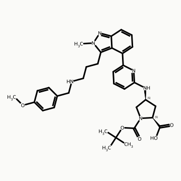 COc1ccc(CNCCCc2c3c(-c4cccc(N[C@H]5C[C@@H](C(=O)O)N(C(=O)OC(C)(C)C)C5)n4)cccc3nn2C)cc1